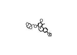 Cc1c2n(c(OC[C@@H]3COCCO3)cc1=O)CCc1cc(N3CCC3)ccc1-2